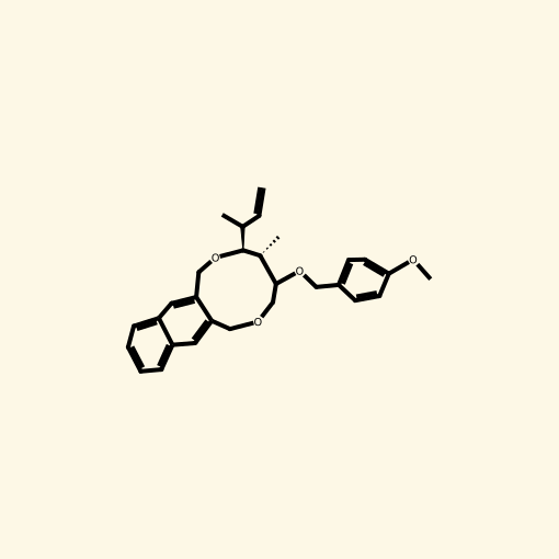 C=CC(C)[C@@H]1OCc2cc3ccccc3cc2COCC(OCc2ccc(OC)cc2)[C@H]1C